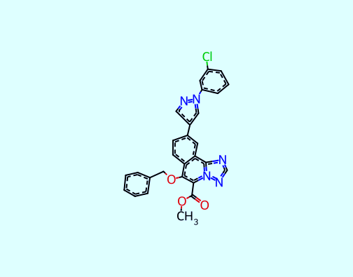 COC(=O)c1c(OCc2ccccc2)c2ccc(-c3cnn(-c4cccc(Cl)c4)c3)cc2c2ncnn12